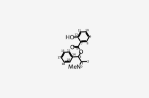 CNC(C)C(OC(=O)c1ccccc1O)c1ccccc1